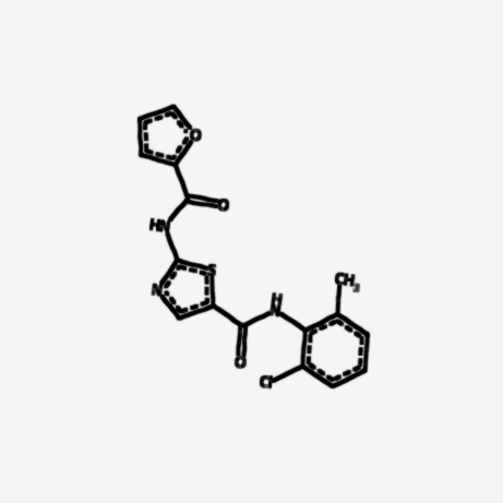 Cc1cccc(Cl)c1NC(=O)c1cnc(NC(=O)c2ccco2)s1